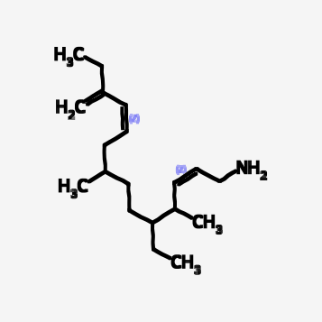 C=C(/C=C\CC(C)CCC(CC)C(C)/C=C\CN)CC